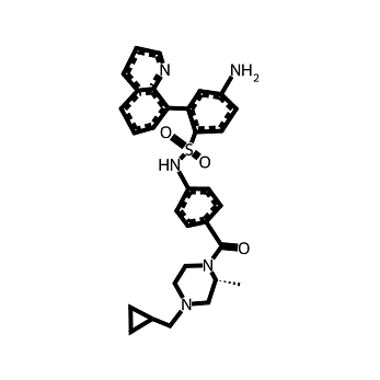 C[C@@H]1CN(CC2CC2)CCN1C(=O)c1ccc(NS(=O)(=O)c2ccc(N)cc2-c2cccc3cccnc23)cc1